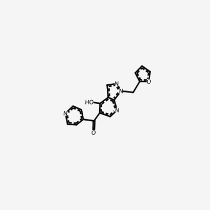 O=C(c1ccncc1)c1cnc2c(cnn2Cc2ccco2)c1O